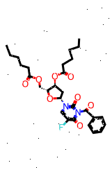 CCCCCC(=O)OC[C@H]1O[C@@H](n2cc(F)c(=O)n(C(=O)c3ccccc3)c2=O)C[C@@H]1OC(=O)CCCCC